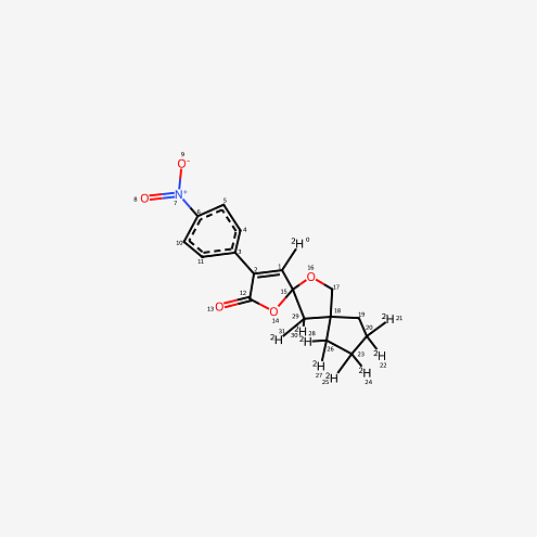 [2H]C1=C(c2ccc([N+](=O)[O-])cc2)C(=O)OC12OCC1(CC([2H])([2H])C([2H])([2H])C1([2H])[2H])C2([2H])[2H]